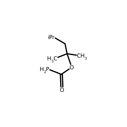 CC(C)CC(C)(C)OC(=O)P